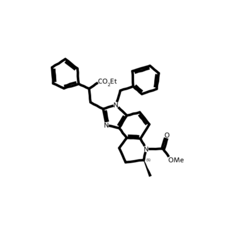 CCOC(=O)C(Cc1nc2c3c(ccc2n1Cc1ccccc1)N(C(=O)OC)[C@@H](C)CC3)c1ccccc1